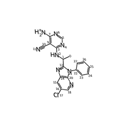 CC(Nc1ncnc(N)c1C#N)c1nc2cc(Cl)cnc2n1-c1ccccc1